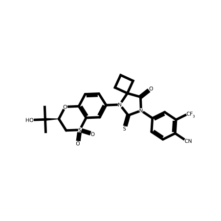 CC(C)(O)[C@@H]1CS(=O)(=O)c2cc(N3C(=S)N(c4ccc(C#N)c(C(F)(F)F)c4)C(=O)C34CCC4)ccc2O1